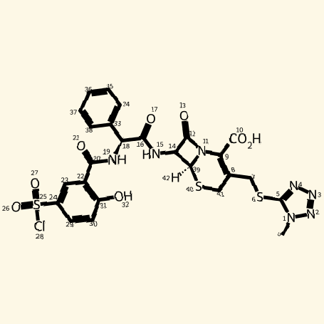 Cn1nnnc1SCC1=C(C(=O)O)N2C(=O)C(NC(=O)[C@@H](NC(=O)c3cc(S(=O)(=O)Cl)ccc3O)c3ccccc3)[C@@H]2SC1